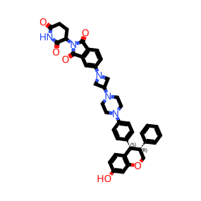 O=C1CCC(N2C(=O)c3ccc(N4CC(N5CCN(c6ccc([C@H]7c8ccc(O)cc8OC[C@H]7c7ccccc7)cc6)CC5)C4)cc3C2=O)C(=O)N1